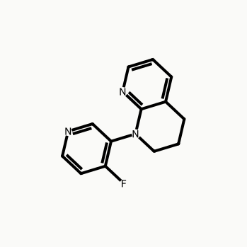 Fc1ccncc1N1CCCc2cccnc21